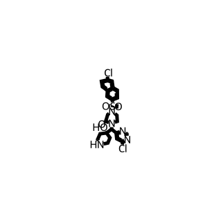 O=C1CN(S(=O)(=O)c2ccc3cc(Cl)ccc3c2)CCN1C(c1cc(Cl)ncn1)C1(O)CCNCC1